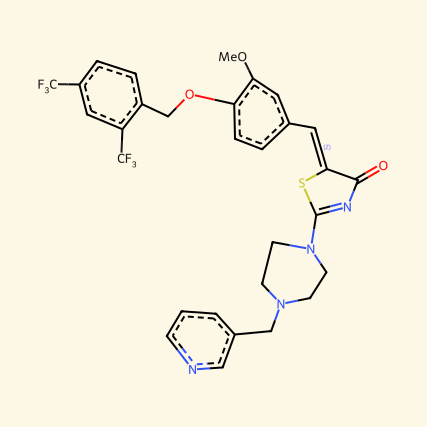 COc1cc(/C=C2\SC(N3CCN(Cc4cccnc4)CC3)=NC2=O)ccc1OCc1ccc(C(F)(F)F)cc1C(F)(F)F